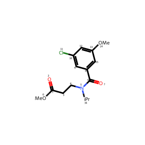 COC(=O)CCN(C(=O)c1cc(Cl)cc(OC)c1)C(C)C